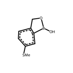 CSc1ccc2c(c1)B(O)OC2